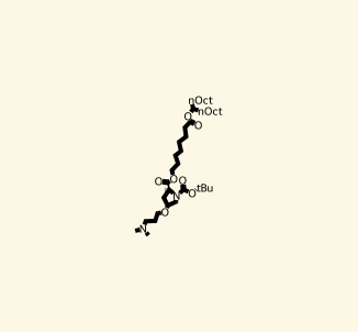 CCCCCCCCC(CCCCCCCC)OC(=O)CCCCCCCOC(=O)[C@@H]1CC(OCCCN(C)C)CN1C(=O)OC(C)(C)C